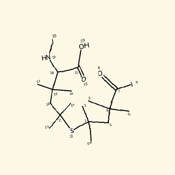 CC(C)(CC(C)(C)C(=O)I)SC(C)(C)CC(C)(C)C(NI)C(=O)O